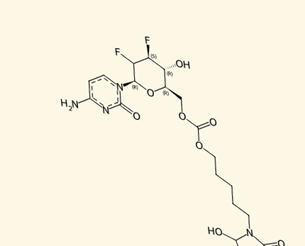 Nc1ccn([C@@H]2O[C@H](COC(=O)OCCCCCN3C(=O)C=CC3O)[C@@H](O)[C@H](F)C2F)c(=O)n1